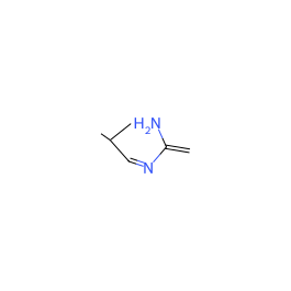 C=C(N)/N=C\C(C)C